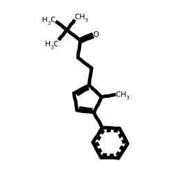 CC1C(CCC(=O)C(C)(C)C)=CC=C1c1ccccc1